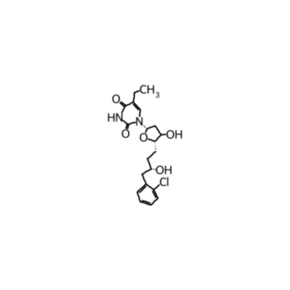 CCc1cn([C@@H]2CC(O)[C@H](CC[C@H](O)Cc3ccccc3Cl)O2)c(=O)[nH]c1=O